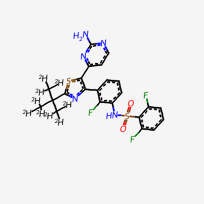 [2H]C([2H])([2H])C(c1nc(-c2cccc(NS(=O)(=O)c3c(F)cccc3F)c2F)c(-c2ccnc(N)n2)s1)(C([2H])([2H])[2H])C([2H])([2H])[2H]